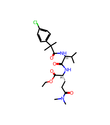 CCOC(=O)[C@@H](CCC(=O)N(C)C)NC(=O)[C@@H](NC(=O)C(C)(C)c1ccc(Cl)cc1)C(C)C